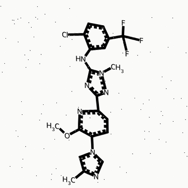 COc1nc(-c2nc(Nc3cc(C(F)(F)F)ccc3Cl)n(C)n2)ccc1-n1cnc(C)c1